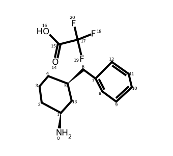 N[C@H]1CCC[C@@H](Cc2ccccc2)C1.O=C(O)C(F)(F)F